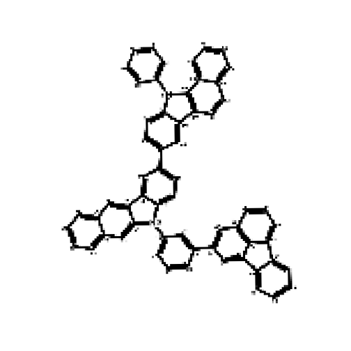 c1ccc(-n2c3ccc(-c4ccc5c(c4)c4cc6ccccc6cc4n5-c4cccc(-c5cc6c7c(cccc7c5)-c5ccccc5-6)c4)cc3c3ccc4ccccc4c32)cc1